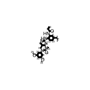 C=CC(=O)Nc1cc(CF)ccc1Nc1ncc2c(n1)N(C)C(=O)N(c1cc(OC)cc(OC)c1)C2